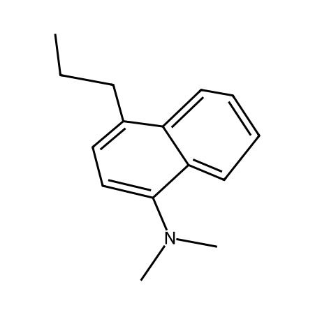 CCCc1ccc(N(C)C)c2ccccc12